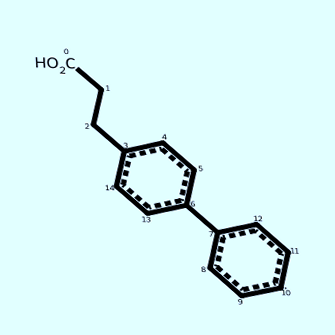 O=C(O)CCc1ccc(-c2cc[c]cc2)cc1